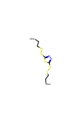 CCCCCCCCCCCCSSc1nnc(SSCCCCCCCCCCCC)s1